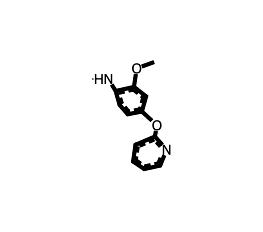 COc1cc(Oc2ccccn2)ccc1[NH]